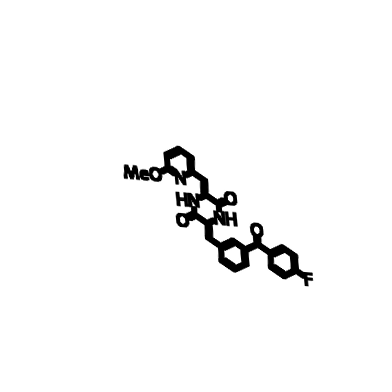 COc1cccc(C=c2[nH]c(=O)c(=Cc3cccc(C(=O)c4ccc(F)cc4)c3)[nH]c2=O)n1